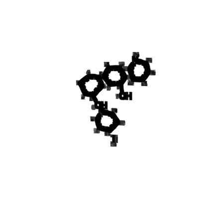 Oc1ccccc1.Oc1ccccc1.[Ti].c1ccncc1.c1ccncc1